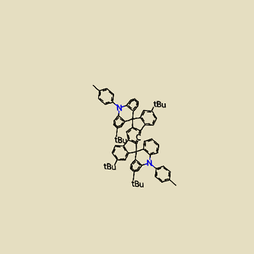 Cc1ccc(N2c3ccccc3C3(c4cc(C(C)(C)C)ccc4-c4cc5c(cc43)-c3ccc(C(C)(C)C)cc3C53c4ccccc4N(c4ccc(C)cc4)c4ccc(C(C)(C)C)cc43)c3ccc(C(C)(C)C)cc32)cc1